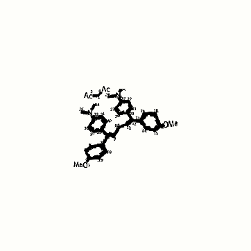 CC(=O)CC(C)=O.COc1ccc(C(=CCC=C(c2ccc(OC)cc2)c2ccc(N(C)C)cc2)c2ccc(N(C)C)cc2)cc1